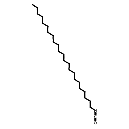 CCCCCCCCCCCCCCCCCCCCCCCN=C=O